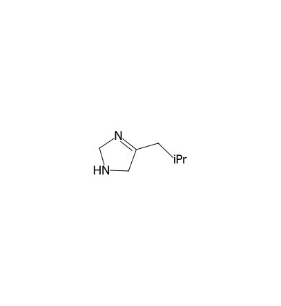 CC(C)CC1=NCNC1